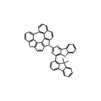 CC1(C)c2ccccc2-c2cccc(-c3nc(-n4c5ccc6cccc7c6c5c5c6c(ccc54)sc4cccc-7c46)nc4c3oc3ccccc34)c21